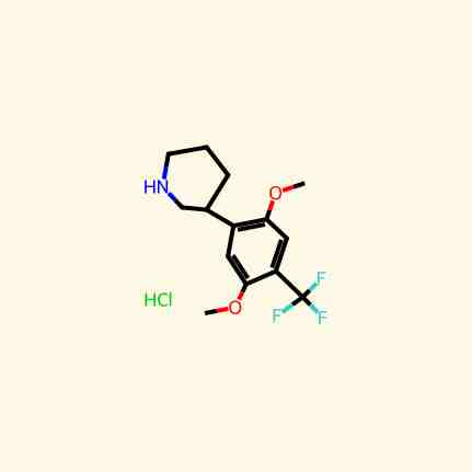 COc1cc(C(F)(F)F)c(OC)cc1C1CCCNC1.Cl